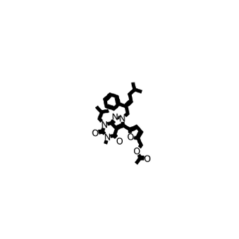 CC(=O)OCc1ccc(-c2c3c(=O)n(C)c(=O)n(CC(C)C)c3nn2CC(=CCC(C)C)c2ccccc2)o1